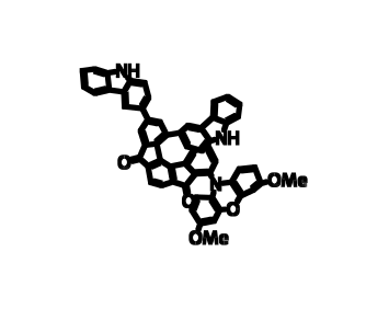 COc1ccc2c(c1)Oc1cc(OC)ccc1N2c1cccc2c1c(=O)c1ccc3c(=O)c4cc(-c5ccc6[nH]c7ccccc7c6c5)cc(-c5ccc6[nH]c7ccccc7c6c5)c4c3c12